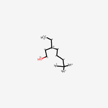 [2H]C([2H])([2H])CCC[C@H](CC)CCO